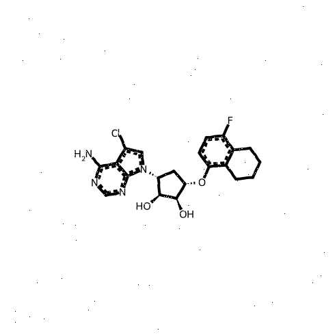 Nc1ncnc2c1c(Cl)cn2[C@@H]1C[C@H](Oc2ccc(F)c3c2CCCC3)[C@@H](O)[C@H]1O